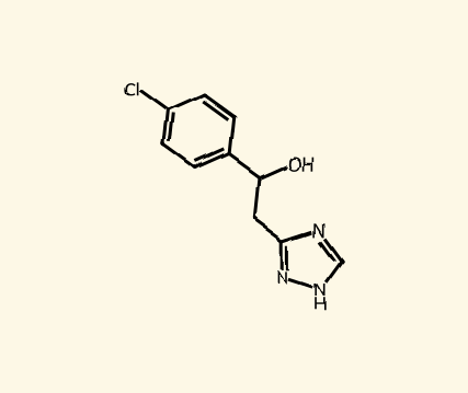 OC(Cc1nc[nH]n1)c1ccc(Cl)cc1